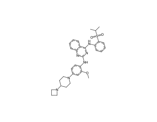 COc1cc(N2CCC(N3CCC3)CC2)ccc1Nc1nc(Nc2ccccc2S(=O)(=O)C(C)C)c2ccccc2n1